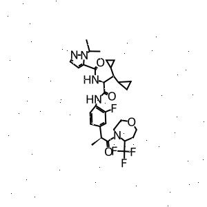 CC(C)n1nccc1C(=O)N[C@H](C(=O)Nc1ccc([C@H](C)C(=O)N2CCOCCC2C(F)(F)F)cc1F)C(C1CC1)C1CC1